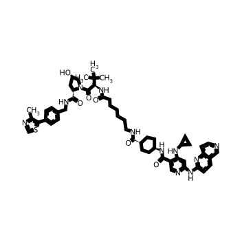 Cc1ncsc1-c1ccc(CNC(=O)[C@@H]2C[C@@H](O)CN2C(=O)[C@H](NC(=O)CCCCCCNC(=O)[C@H]2CC[C@H](NC(=O)c3cnc(Nc4ccc5cnccc5n4)cc3NC3CC3)CC2)C(C)(C)C)cc1